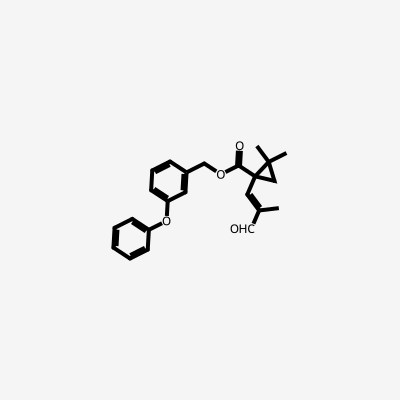 C/C(C=O)=C\C1(C(=O)OCc2cccc(Oc3ccccc3)c2)CC1(C)C